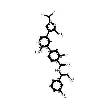 Cc1nn(C(F)F)cc1-c1cnc(N)c(-c2ccc(C(=O)NC(CO)c3cccc(Cl)c3)c(F)c2)c1